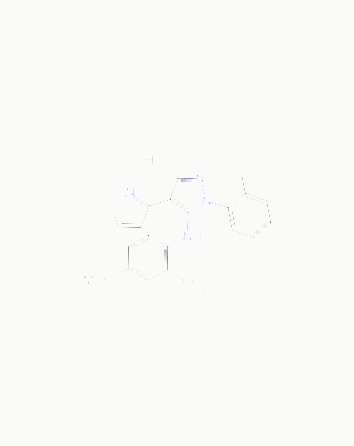 COc1ccc(Nc2c(-c3ccon3)c(C)nn2-c2ccccc2C)c(C(=O)O)c1